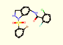 O=C(Nc1ccc2c(c1)N(S(=O)(=O)c1ccccc1Br)NC2)c1c(F)cccc1Cl